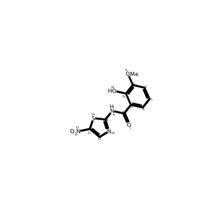 COc1cccc(C(=O)Nc2ncc([N+](=O)[O-])s2)c1O